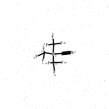 N#C[B-](C(F)(F)F)(C(F)(F)F)C(F)(F)F